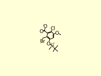 COC(=O)c1c(Cl)c(OC)cc(O[Si](C)(C)C(C)(C)C)c1CBr